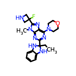 CCC1(c2nc(N3CCOCC3)c3nc(C4(F)CNC4)n(C)c3n2)Nc2ccccc2N1